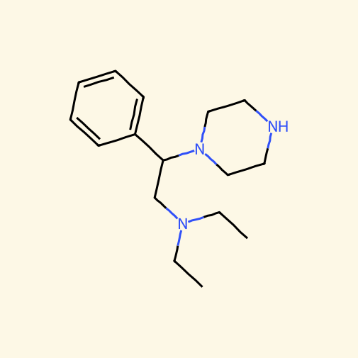 CCN(CC)CC(c1ccccc1)N1CCNCC1